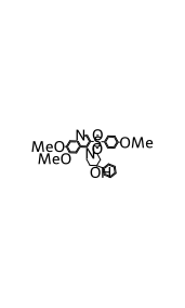 COc1ccc(S(=O)(=O)c2cnc3cc(OC)c(OC)cc3c2N2CCC(O)(c3ccccc3)CC2)cc1